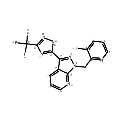 Fc1cccnc1Cn1nc(-c2nc(C(F)(F)F)n[nH]2)c2cccnc21